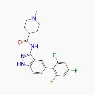 CN1CCC(C(=O)Nc2n[nH]c3ccc(-c4c(F)cc(F)cc4F)cc23)CC1